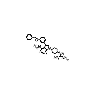 N=C(N)NC1CCC(n2cc(-c3cccc(OCc4ccccc4)c3)c3c(N)ncnc32)CC1